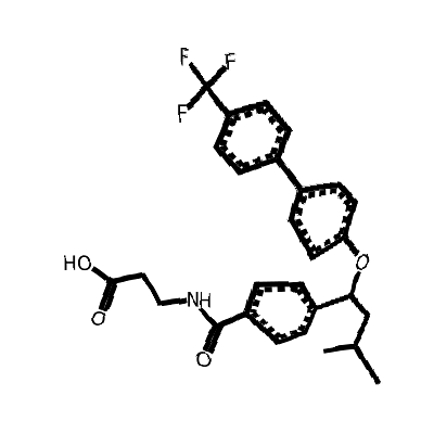 CC(C)CC(Oc1ccc(-c2ccc(C(F)(F)F)cc2)cc1)c1ccc(C(=O)NCCC(=O)O)cc1